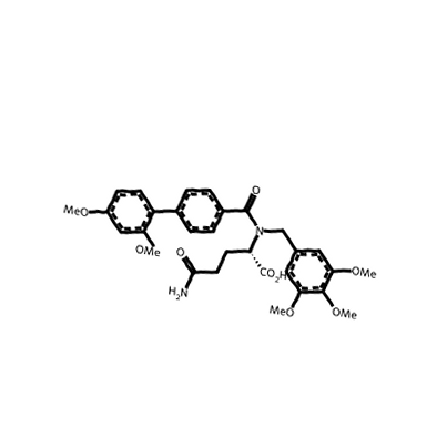 COc1ccc(-c2ccc(C(=O)N(Cc3cc(OC)c(OC)c(OC)c3)[C@@H](CCC(N)=O)C(=O)O)cc2)c(OC)c1